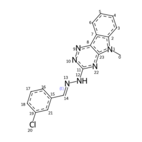 Cn1c2ccccc2c2nnc(N/N=C/c3cccc(Cl)c3)nc21